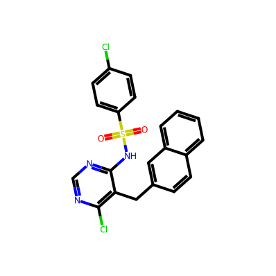 O=S(=O)(Nc1ncnc(Cl)c1Cc1ccc2ccccc2c1)c1ccc(Cl)cc1